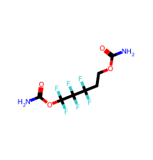 NC(=O)OCCC(F)(F)C(F)(F)C(F)(F)OC(N)=O